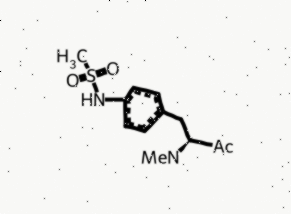 CN[C@@H](Cc1ccc(NS(C)(=O)=O)cc1)C(C)=O